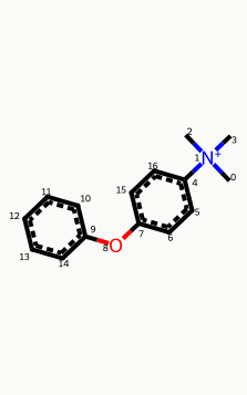 C[N+](C)(C)c1ccc(Oc2ccccc2)cc1